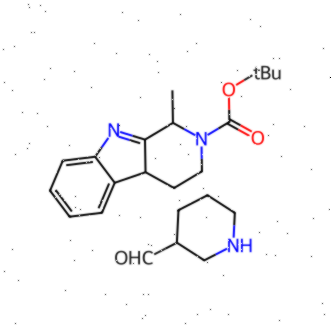 CC1C2=Nc3ccccc3C2CCN1C(=O)OC(C)(C)C.O=CC1CCCNC1